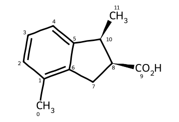 Cc1cccc2c1C[C@H](C(=O)O)[C@@H]2C